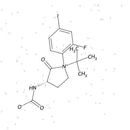 CC(C)(C)[N+]1(c2ccc(I)cc2F)CC[C@H](NC(=O)[O-])C1=O